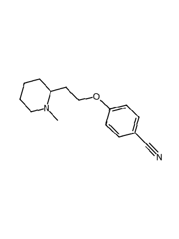 CN1CCCCC1CCOc1ccc(C#N)cc1